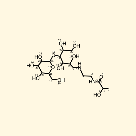 CC(O)C(=O)NCCNCC(O)C(O)C(OC1OC(CO)C(O)C(O)C1O)C(O)CO